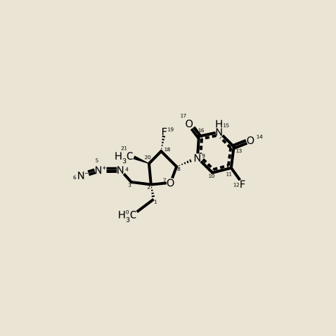 CC[C@@]1(CN=[N+]=[N-])O[C@@H](n2cc(F)c(=O)[nH]c2=O)[C@@H](F)[C@@H]1C